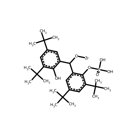 CC(C)(C)c1cc(C([O][Zr])c2cc(C(C)(C)C)cc(C(C)(C)C)c2OP(=O)(O)O)c(O)c(C(C)(C)C)c1